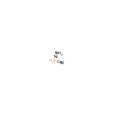 P.[BiH3].[Co].[Ni].[W]